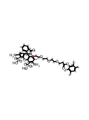 Cc1cc(F)c(F)c(OC(=O)CCOCCOCCOCCON2C(=O)c3ccccc3C23c2ccc(N)c(S(=O)(=O)O)c2Oc2c3ccc(N)c2S(=O)(=O)O)c1F